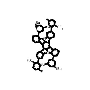 CC(C)(C)c1cc(-c2cccc3c4c5c6ccc(-c7cc(F)ccc7C(F)(F)F)cc6n6c7c(-c8cc(C(C)(C)C)cc(C(C)(C)C)c8)cccc7c(c7c8ccc(-c9cc(F)ccc9C(F)(F)F)cc8n(c23)c74)c56)cc(C(C)(C)C)c1